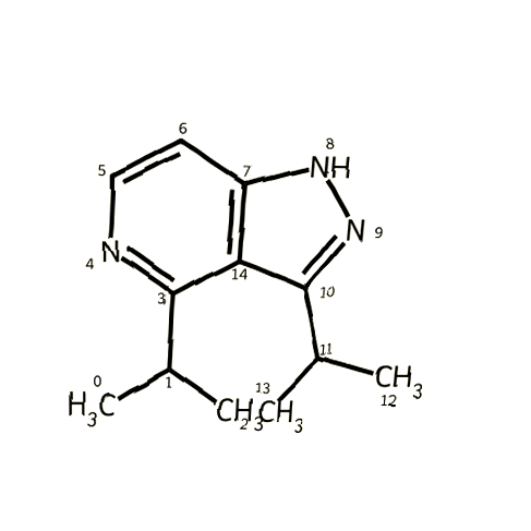 CC(C)c1nccc2[nH]nc(C(C)C)c12